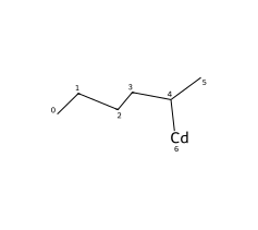 CCCC[CH](C)[Cd]